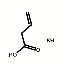 C=CCC(=O)O.[KH]